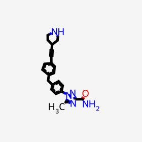 Cc1nc(C(N)=O)nn1-c1ccc(Cc2ccc(C#CC3CCNCC3)cc2)cc1